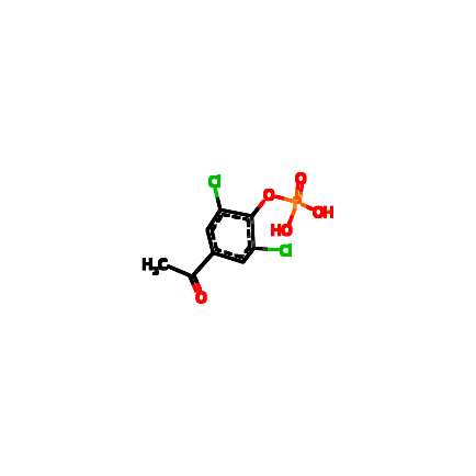 CC(=O)c1cc(Cl)c(OP(=O)(O)O)c(Cl)c1